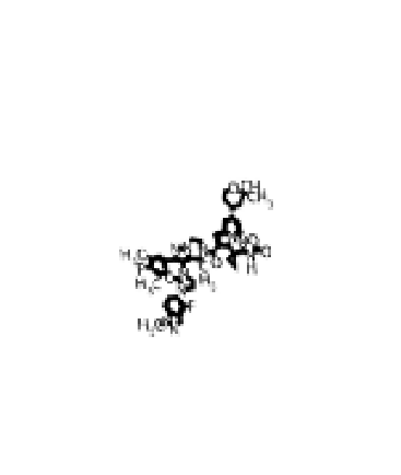 Cc1cc(-c2nn3c(c2-n2ccn(-c4ccc5c(cnn5C)c4F)c2=O)[C@@H](C)N(C(=O)c2cc4cc([C@@H]5CCOC(C)(C)C5)ccn4c2C2(c4noc(=O)[nH]4)CC2)CC3)cc(C)c1F